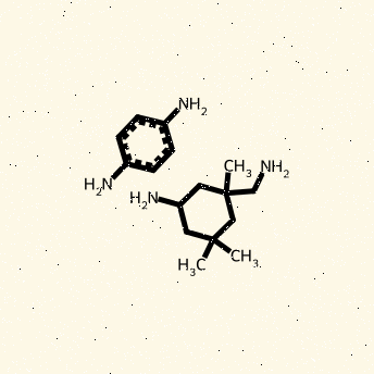 CC1(C)CC(N)CC(C)(CN)C1.Nc1ccc(N)cc1